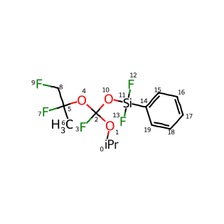 CC(C)OC(F)(OC(C)(F)CF)O[Si](F)(F)c1ccccc1